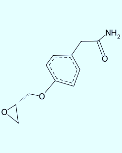 NC(=O)Cc1ccc(OC[C@@H]2CO2)cc1